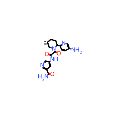 C[C@@H]1CC[C@@H](c2ccc(N)cn2)N(C(=O)C(=O)Nc2cncc(C(N)=O)c2)C1